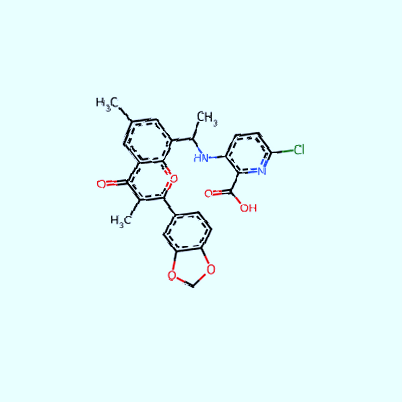 Cc1cc(C(C)Nc2ccc(Cl)nc2C(=O)O)c2oc(-c3ccc4c(c3)OCO4)c(C)c(=O)c2c1